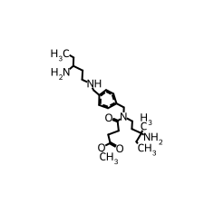 CCC(N)CCNCc1ccc(CN(CCC(C)(N)CC)C(=O)CCC(=O)OC)cc1